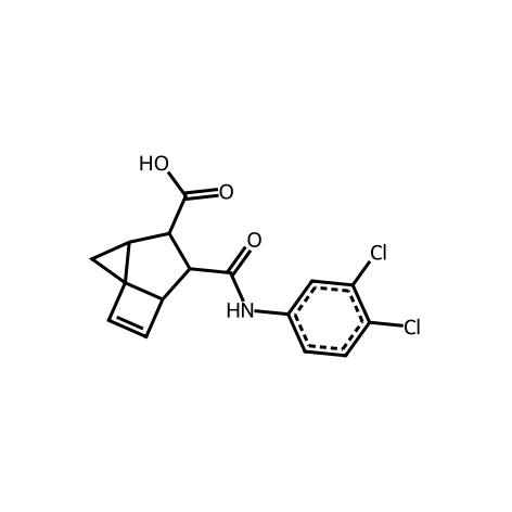 O=C(Nc1ccc(Cl)c(Cl)c1)C1C(C(=O)O)C2CC23C=CC13